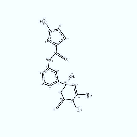 Cc1nc(C(=O)Nc2cccc([C@]3(C)CC(=O)N(C)C(N)=N3)c2)cs1